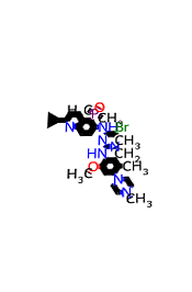 C=N/C(=N\C(Nc1ccc2nc(C3CC3)ccc2c1P(C)(C)=O)=C(/C)Br)Nc1cc(C)c(N2CCN(C)CC2)cc1OC